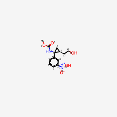 COC(=O)N[C@@]1(c2cccc([N@@H+]([O-])O)c2)C[C@H]1CCO